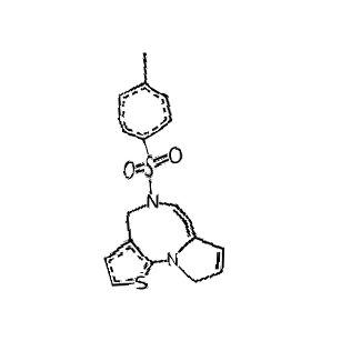 Cc1ccc(S(=O)(=O)N2C=C3C=CCN3c3sccc3C2)cc1